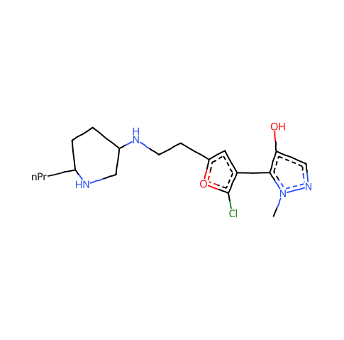 CCCC1CCC(NCCc2cc(-c3c(O)cnn3C)c(Cl)o2)CN1